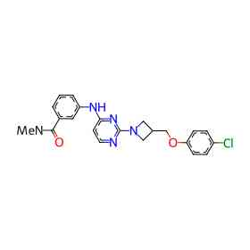 CNC(=O)c1cccc(Nc2ccnc(N3CC(COc4ccc(Cl)cc4)C3)n2)c1